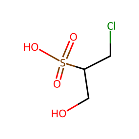 O=S(=O)(O)C(CO)CCl